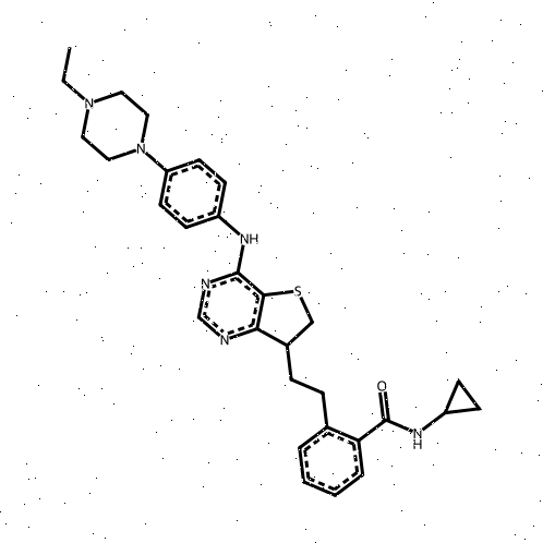 CCN1CCN(c2ccc(Nc3ncnc4c3SCC4CCc3ccccc3C(=O)NC3CC3)cc2)CC1